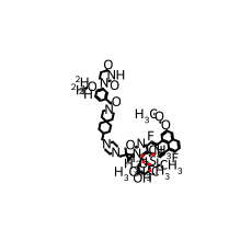 [2H]C([2H])([2H])Oc1ccc(C(=O)N2CCC3(CCC(CN4CCN(CC5(COc6nc(N7CCC[C@@](C)(O)C7)c7cnc(-c8cc(OCOC)cc9ccc(F)c(C#C[Si](C(C)C)(C(C)C)C(C)C)c89)c(F)c7n6)CC5)CC4)CC3)CC2)cc1N1CCC(=O)NC1=O